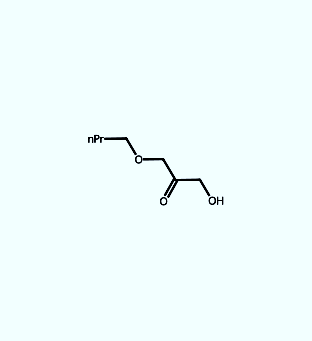 CCCCOCC(=O)CO